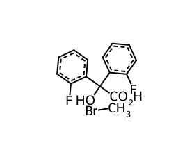 CBr.O=C(O)C(O)(c1ccccc1F)c1ccccc1F